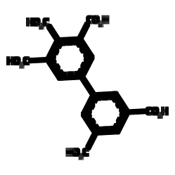 O=C(O)c1cc(C(=O)O)cc(-c2cc(C(=O)O)c(C(=O)O)c(C(=O)O)c2)c1